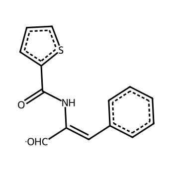 O=[C]C(=Cc1ccccc1)NC(=O)c1cccs1